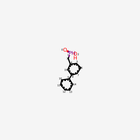 O=[PH](O)Cc1cccc(-c2ccccc2)c1